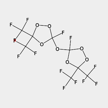 FC1(OC2(F)OOC(C(F)(F)F)(C(F)(F)F)O2)OOC(C(F)(F)F)(C(F)(F)F)O1